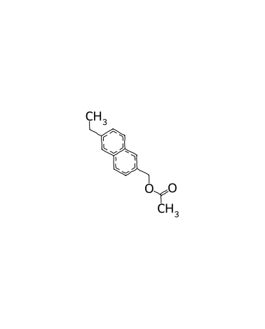 CCc1ccc2cc(COC(C)=O)ccc2c1